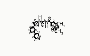 Cc1cc(C(=O)NCC(=O)Nc2nc(-c3cccc(-c4ccncc4)c3)cs2)cn1S(C)(=O)=O